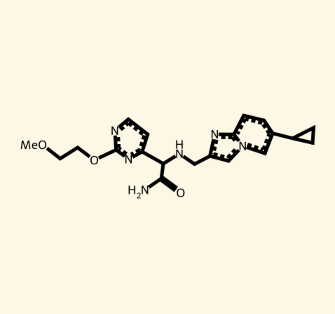 COCCOc1nccc(C(NCc2cn3cc(C4CC4)ccc3n2)C(N)=O)n1